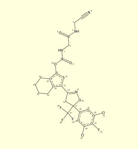 N#CCNC(=O)CNC(=O)Oc1sc(C2=NOC(c3cc(Cl)c(F)c(Cl)c3)(C(F)(F)F)C2)c2c1CCCC2